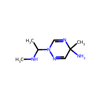 CNC(C)N1C=NC(C)(N)C=N1